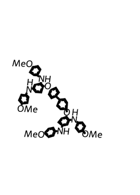 COc1ccc(Nc2ccc(Oc3ccc(-c4ccc(Oc5ccc(Nc6ccc(OC)cc6)cc5Nc5ccc(OC)cc5)cc4)cc3)c(Nc3ccc(OC)cc3)c2)cc1